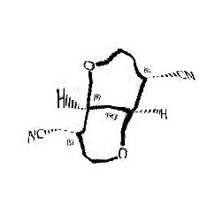 N#C[C@H]1CO[C@H]2[C@@H]1OC[C@@H]2C#N